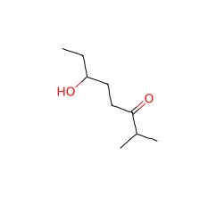 CCC(O)CCC(=O)C(C)C